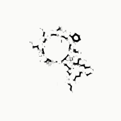 CCCC(C)OC(=O)CCC(=O)N1CCNCC1C(=O)N[C@H](C(=O)N[C@@H](CCN)C(=O)N[C@H]1CCNC(=O)[C@H]([C@H](C)O)NC(=O)[C@H](CCCN)NC(=O)[C@H](CCN)NC(=O)[C@H](CC(C)C)NC(=O)[C@@H](Cc2ccccc2)NC(=O)[C@H](CCN)NC1=O)C(C)O